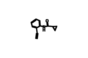 C#Cc1ccccc1NC(=O)C1CC1